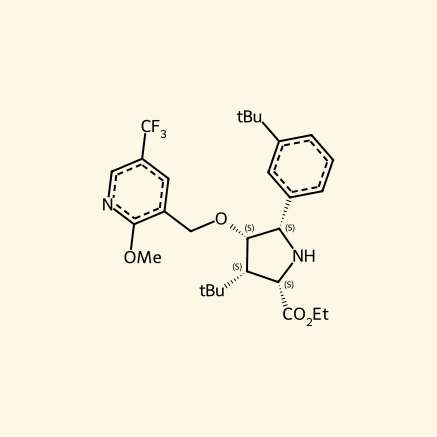 CCOC(=O)[C@H]1N[C@@H](c2cccc(C(C)(C)C)c2)[C@@H](OCc2cc(C(F)(F)F)cnc2OC)[C@H]1C(C)(C)C